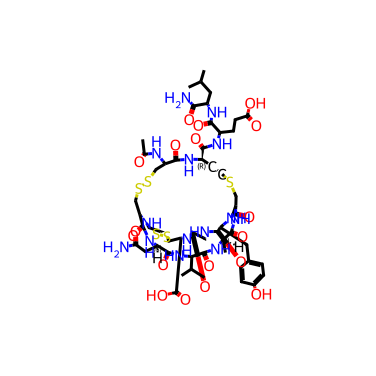 CC(=O)NC1CSSCC2NCCSSCC(C(=O)O)NC(=O)CNC(=O)C(Cc3ccc(O)cc3)NC(=O)C(CSCC[C@H](C(=O)NC(CCC(=O)O)C(=O)NC(CC(C)C)C(N)=O)NC1=O)NC(=O)[C@@H](C)NC(=O)C(C(C)C)NC(=O)[C@@H](CC(N)=O)NC2=O